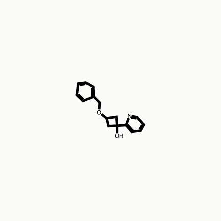 OC1(c2ccccn2)CC(OCc2ccccc2)C1